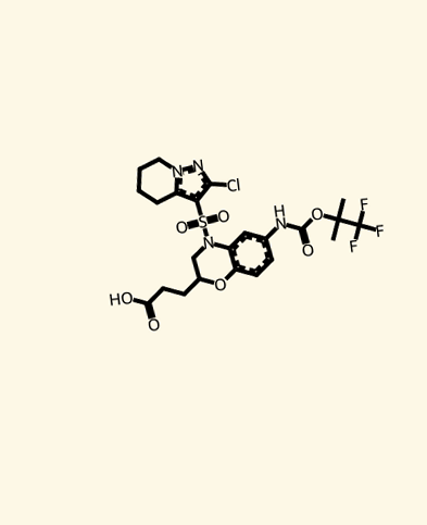 CC(C)(OC(=O)Nc1ccc2c(c1)N(S(=O)(=O)c1c(Cl)nn3c1CCCC3)CC(CCC(=O)O)O2)C(F)(F)F